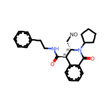 O=NC[C@H]1[C@H](C(=O)NCCc2ccccc2)c2ccccc2C(=O)N1C1CCCC1